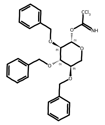 N=C(O[C@@H]1OC[C@@H](OCc2ccccc2)[C@H](OCc2ccccc2)[C@H]1OCc1ccccc1)C(Cl)(Cl)Cl